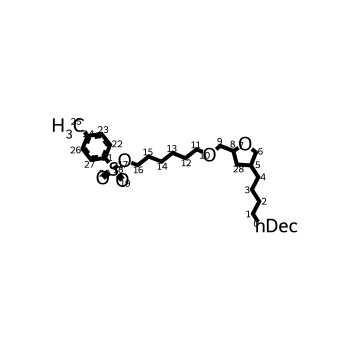 CCCCCCCCCCCCCCC1COC(COCCCCCCOS(=O)(=O)c2ccc(C)cc2)C1